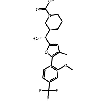 COc1cc(C(F)(F)F)ccc1-c1oc([C@H](O)[C@@H]2CCCN(C(=O)O)C2)cc1C